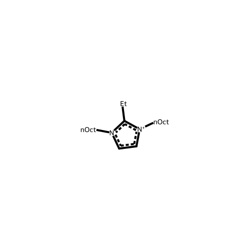 CCCCCCCCn1cc[n+](CCCCCCCC)c1CC